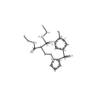 CCOC(=O)C(CCn1cccc1C(=S)c1ccc(C)cc1)C(=O)OCC